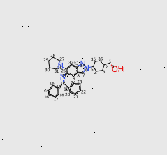 OCC1CCC(n2cc3cc(N=C(c4ccccc4)c4ccccc4)c(N4CCCCC4)cc3n2)CC1